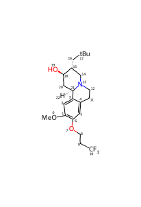 COc1cc2c(cc1OCCC(F)(F)F)CCN1C[C@@H](CC(C)(C)C)[C@H](O)C[C@H]21